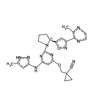 Cc1cc(Nc2cc(OCC3(C#N)CC3)nc(N3CCC[C@H]3c3cc(-c4nccnc4C)no3)n2)n[nH]1